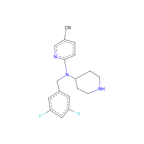 N#Cc1ccc(N(Cc2cc(F)cc(F)c2)C2CCNCC2)nc1